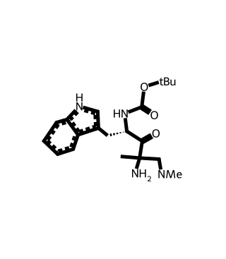 CNCC(C)(N)C(=O)[C@H](Cc1c[nH]c2ccccc12)NC(=O)OC(C)(C)C